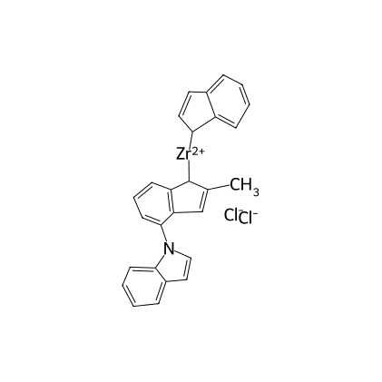 CC1=Cc2c(cccc2-n2ccc3ccccc32)[CH]1[Zr+2][CH]1C=Cc2ccccc21.[Cl-].[Cl-]